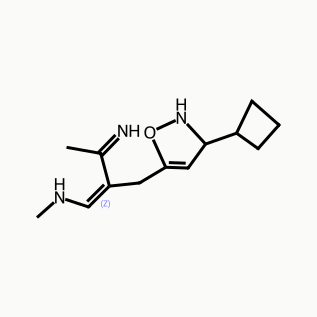 CN/C=C(/CC1=CC(C2CCC2)NO1)C(C)=N